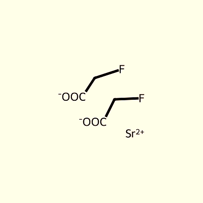 O=C([O-])CF.O=C([O-])CF.[Sr+2]